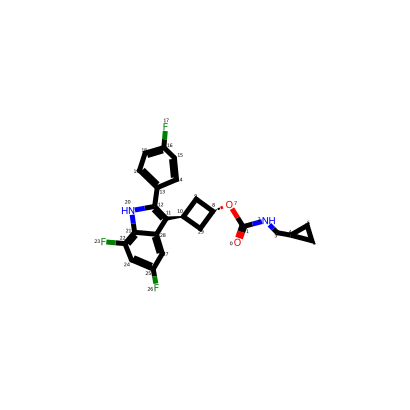 O=C(NCC1CC1)O[C@H]1C[C@H](c2c(-c3ccc(F)cc3)[nH]c3c(F)cc(F)cc32)C1